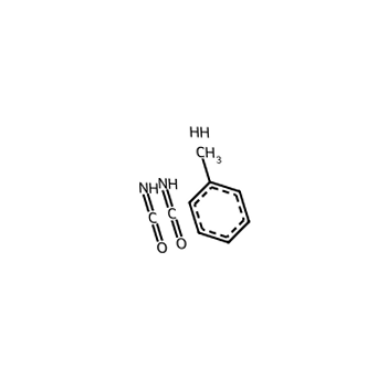 Cc1ccccc1.N=C=O.N=C=O.[HH]